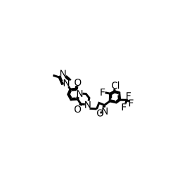 Cc1cn(-c2ccc3n(c2=O)CCN(CC2CC(c4cc(C(F)(F)F)cc(Cl)c4F)=NO2)C3=O)cn1